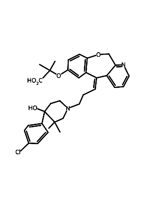 CC(C)(Oc1ccc2c(c1)C(=CCCN1CCC(O)(c3ccc(Cl)cc3)C(C)(C)C1)c1cccnc1CO2)C(=O)O